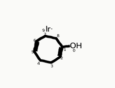 OC1=CCCC=CCC1.[Ir]